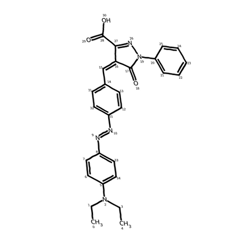 CCN(CC)c1ccc(/N=N/c2ccc(/C=C3\C(=O)N(c4ccccc4)N=C3C(=O)O)cc2)cc1